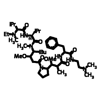 CCC(C)C(C(CC(=O)N1CCCC1C(OC)C(C)C(=O)NC(Cc1ccccc1)C(=O)NCCN(C)C)OC)N(C)C(=O)[C@@H](NC(=O)C(C(C)C)N(C)CC)C(C)C